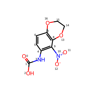 O=C(O)Nc1ccc2c(c1[N+](=O)[O-])OCCO2